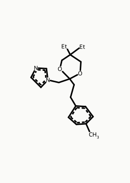 CCC1(CC)COC(CCc2ccc(C)cc2)(Cn2ccnc2)OC1